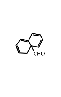 O=CC12C=CC=CC1=CC=CC2